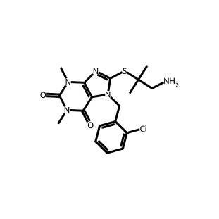 Cn1c(=O)c2c(nc(SC(C)(C)CN)n2Cc2ccccc2Cl)n(C)c1=O